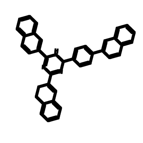 C1=C(C2=NC(c3ccc(-c4ccc5ccccc5c4)cc3)NC(c3ccc4ccccc4c3)=N2)CCc2ccccc21